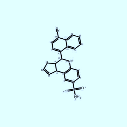 NS(=O)(=O)c1ccc2c(c1)C1C=CCC1C(c1ccc(Br)c3ccccc13)N2